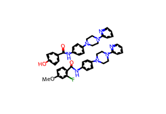 COc1ccc(C(=O)Nc2ccc(N3CCN(c4ccccn4)CC3)cc2)c(F)c1.O=C(Nc1ccc(N2CCN(c3ccccn3)CC2)cc1)c1ccc(O)cc1